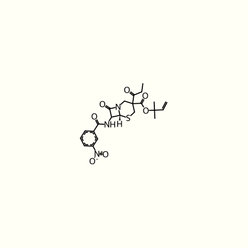 C=CC(C)(C)OC(=O)C1(C(=O)CC)CS[C@@H]2C(NC(=O)c3cccc([N+](=O)[O-])c3)C(=O)N2C1